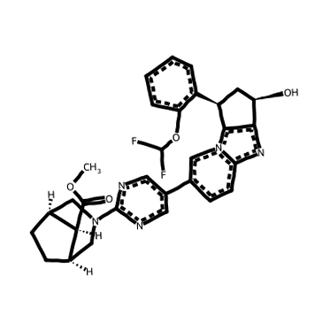 COC(=O)[C@H]1[C@@H]2CC[C@H]1CN(c1ncc(-c3ccc4nc5c(n4c3)[C@@H](c3ccccc3OC(F)F)C[C@H]5O)cn1)C2